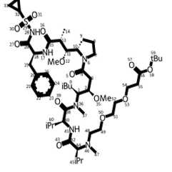 CC[C@H](C)C([C@@H](CC(=O)N1CCC[C@H]1[C@H](OC)[C@@H](C)C(=O)N[C@@H](Cc1ccccc1)C(=O)NS(=O)(=O)C1CC1)OC)N(C)C(=O)[C@@H](NC(=O)[C@H](C(C)C)N(C)CCOCCOCCC(=O)OC(C)(C)C)C(C)C